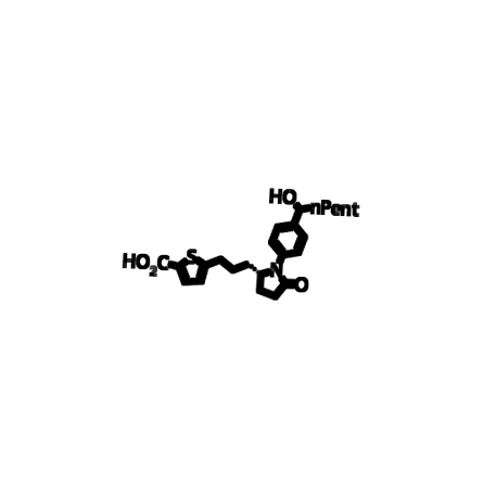 CCCCCC(O)c1ccc(N2C(=O)CC[C@@H]2CCCc2ccc(C(=O)O)s2)cc1